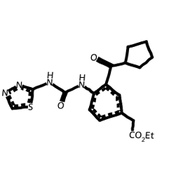 CCOC(=O)Cc1ccc(NC(=O)Nc2nncs2)c(C(=O)C2CCCC2)c1